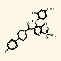 COc1ccc(Nc2c(C(=O)N3CCC(c4ccc(F)cc4)CC3)cnc(S(N)(=O)=O)c2Cl)c(F)c1